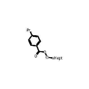 [CH2]CCCCCCOOC(=O)c1ccc(C(C)C)cc1